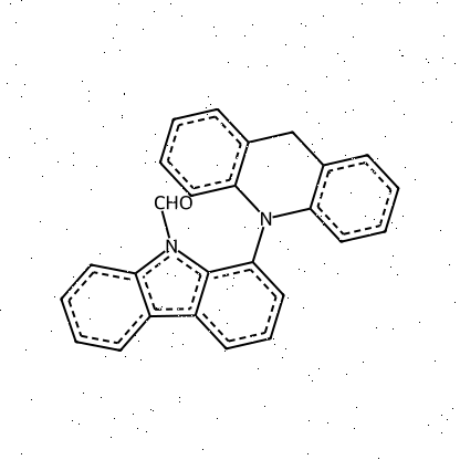 O=Cn1c2ccccc2c2cccc(N3c4ccccc4Cc4ccccc43)c21